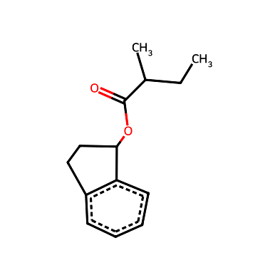 CCC(C)C(=O)OC1CCc2ccccc21